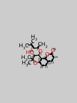 C=C(C=C(C)C)OC1c2c(ccc3ccc(=O)oc23)OC(C)(C)C1O